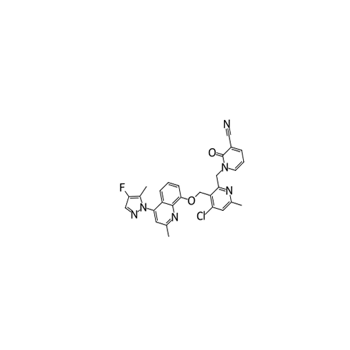 Cc1cc(Cl)c(COc2cccc3c(-n4ncc(F)c4C)cc(C)nc23)c(Cn2cccc(C#N)c2=O)n1